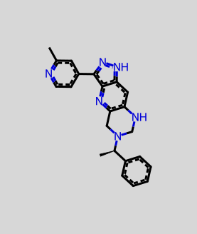 Cc1cc(-c2n[nH]c3cc4c(nc23)CN([C@H](C)c2ccccc2)CN4)ccn1